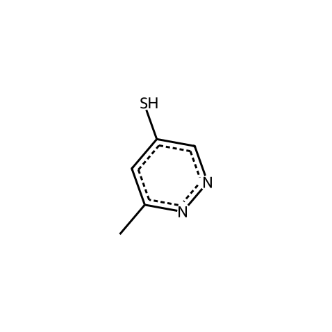 Cc1cc(S)cnn1